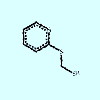 SCSc1ccccn1